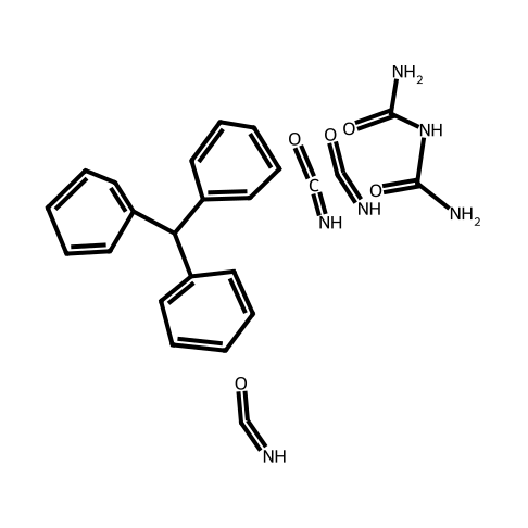 N=C=O.N=C=O.N=C=O.NC(=O)NC(N)=O.c1ccc(C(c2ccccc2)c2ccccc2)cc1